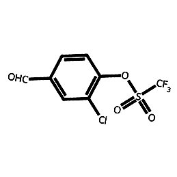 O=Cc1ccc(OS(=O)(=O)C(F)(F)F)c(Cl)c1